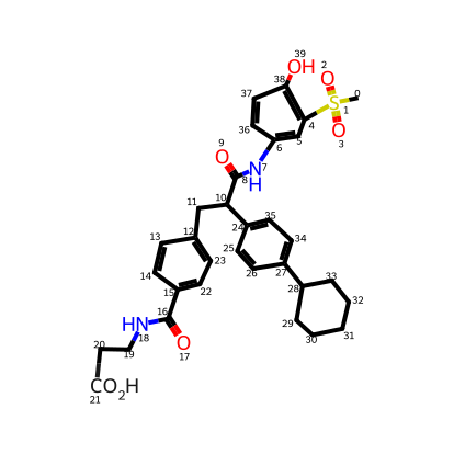 CS(=O)(=O)c1cc(NC(=O)C(Cc2ccc(C(=O)NCCC(=O)O)cc2)c2ccc(C3CCCCC3)cc2)ccc1O